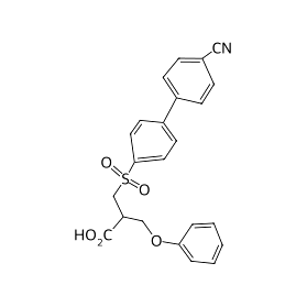 N#Cc1ccc(-c2ccc(S(=O)(=O)CC(COc3ccccc3)C(=O)O)cc2)cc1